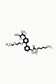 CCCCCNC(=O)N(C)c1cccc(-c2ccc(/C=C(/C)C(=O)O)cc2OCCOCC)c1